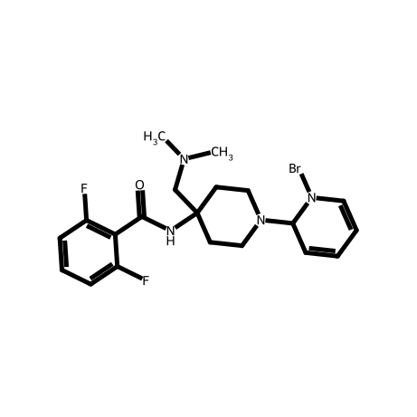 CN(C)CC1(NC(=O)c2c(F)cccc2F)CCN(C2C=CC=CN2Br)CC1